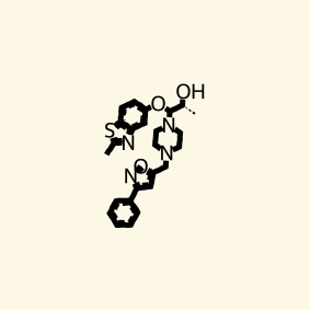 Cc1nc2cc(OC([C@@H](C)O)N3CCN(Cc4cc(-c5ccccc5)no4)CC3)ccc2s1